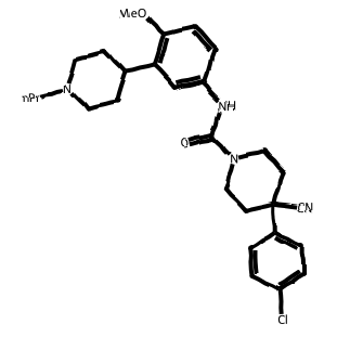 CCCN1CCC(c2cc(NC(=O)N3CCC(C#N)(c4ccc(Cl)cc4)CC3)ccc2OC)CC1